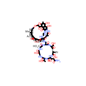 CO[C@H]1/C=C/O[C@@]2(C)Oc3c(C)c(O)c4c(O)c(c(NCCNC(C)C(=O)NCC5NC(=O)C(C(=O)O)NC(=O)C(O)CNC(=O)C(C(C)O)NC(=O)C(C(O)C(O)C(N)=O)NC(=O)C(C(C)C)CC(=O)C(CO)NC5=O)c(O)c4c3C2=O)NC(=O)/C(C)=C\C=C\[C@H](C)[C@H](O)[C@@H](C)[C@@H](O)[C@@H](C)[C@H](OC(C)=O)[C@@H]1C